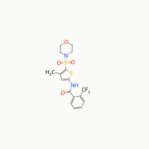 Cc1cc(NC(=O)c2ccccc2C(F)(F)F)sc1S(=O)(=O)N1CCOCC1